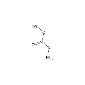 CCCOC(=O)[N]N